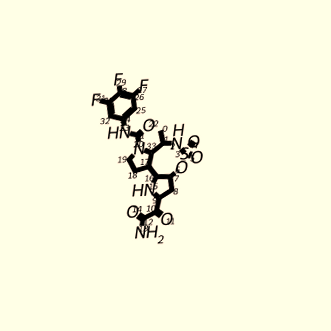 CC1NS(=O)(=O)OC2CC(C(=O)C(N)=O)NC2C2CCN(C(=O)Nc3cc(F)c(F)c(F)c3)C12